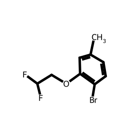 Cc1ccc(Br)c(OCC(F)F)c1